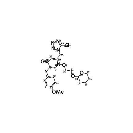 COc1ccc(Cc2cn(OCCOC3CCCCO3)c(Cn3nnnc3S)cc2=O)cc1